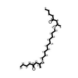 CCCCC(=O)CC(C)SCCCCCCCCCCSC(C)CC(=O)CCCC